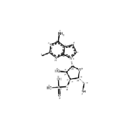 Cc1nc(N)c2ncn([C@@H]3O[C@H](CS)[C@@H](OP(=O)(O)O)[C@H]3O)c2n1